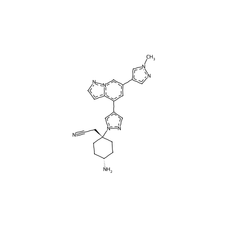 Cn1cc(-c2cc(-c3cnn([C@]4(CC#N)CC[C@H](N)CC4)c3)c3ccnn3c2)cn1